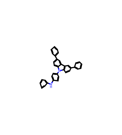 c1ccc(Nc2ccc(-n3c4ccc(-c5ccccc5)cc4c4cc(-c5ccccc5)ccc43)cc2)cc1